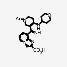 CC(=O)N1CCC(NC2CCOCC2)=C(C(=N)c2cccn3cc(C(=O)O)nc23)C1